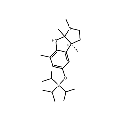 Cc1cc(O[Si](C(C)C)(C(C)C)C(C)C)cc2c1NC1(C)N(C)CC[C@@]21C